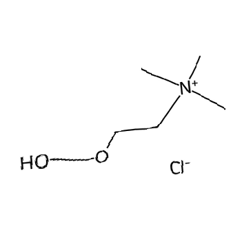 C[N+](C)(C)CCOO.[Cl-]